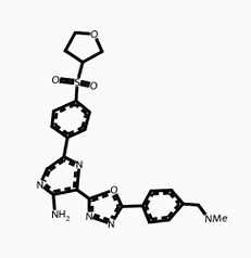 CNCc1ccc(-c2nnc(-c3nc(-c4ccc(S(=O)(=O)C5CCOC5)cc4)cnc3N)o2)cc1